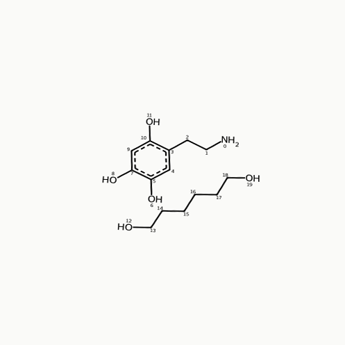 NCCc1cc(O)c(O)cc1O.OCCCCCCO